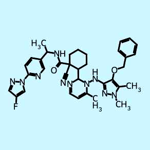 CC1=CC=NC(C2CCCCC2(C#N)C(=O)NC(C)c2ccc(-n3cc(F)cn3)nc2)N1Nc1nn(C)c(C)c1OCc1ccccc1